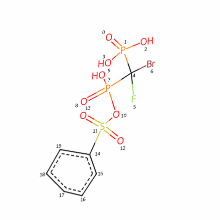 O=P(O)(O)C(F)(Br)P(=O)(O)OS(=O)(=O)c1ccccc1